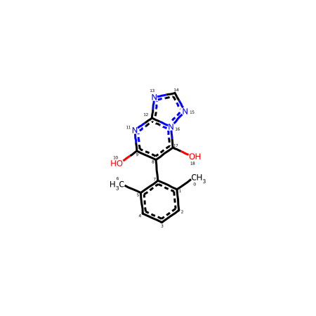 Cc1cccc(C)c1-c1c(O)nc2ncnn2c1O